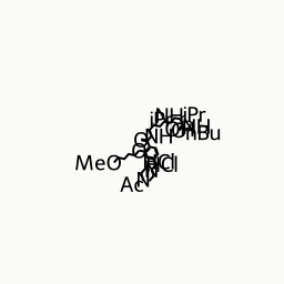 CCCCNC(=O)[C@@H](C[C@H](O)[C@@H](N)C[C@H](CNC(=O)c1ccc(CN2CCN(C(C)=O)CC2)cc1OCCCCOC)C(C)C)C(C)C.Cl.Cl